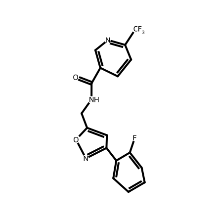 O=C(NCc1cc(-c2ccccc2F)no1)c1ccc(C(F)(F)F)nc1